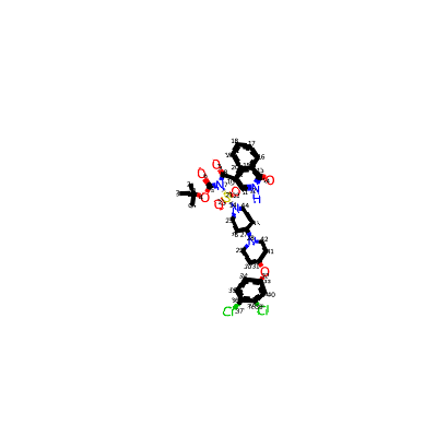 CC(C)(C)OC(=O)N(C(=O)c1c[nH]c(=O)c2ccccc12)S(=O)(=O)N1CCC(N2CCC(Oc3ccc(Cl)c(Cl)c3)CC2)CC1